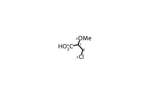 COC(CCl)C(=O)O